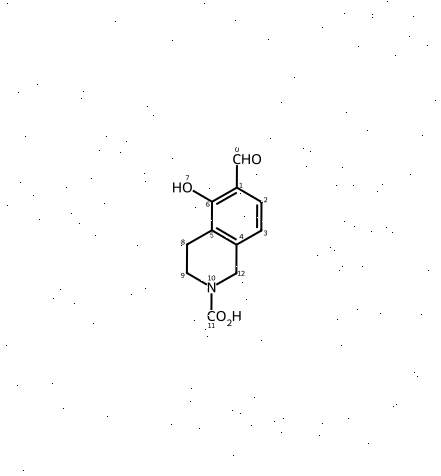 O=Cc1ccc2c(c1O)CCN(C(=O)O)C2